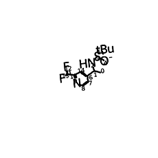 CC(N[S+]([O-])C(C)(C)C)c1ccnc(C(F)F)c1